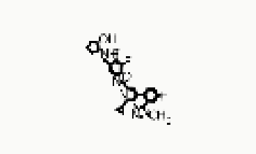 Cn1cnnc1-c1cc(F)ccc1-c1cc(-c2nc3cc(CN[C@@H]4CCC[C@@H]4O)c(F)c(F)c3o2)nc(C2CC2)c1